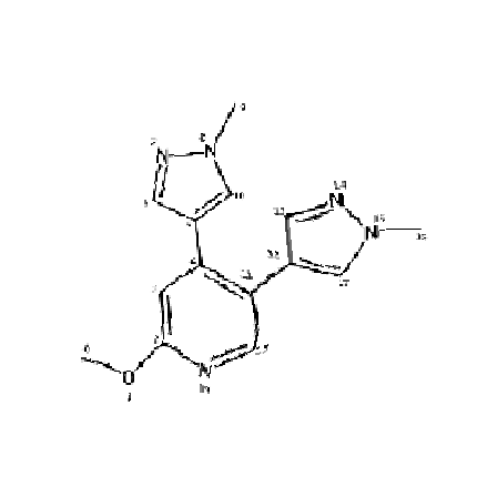 COc1cc(-c2cnn(C)c2)c(-c2cnn(C)c2)cn1